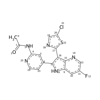 CC(=O)Nc1cc(-c2[nH]c3cc(F)cnc3c2-c2ncc(Cl)s2)ccn1